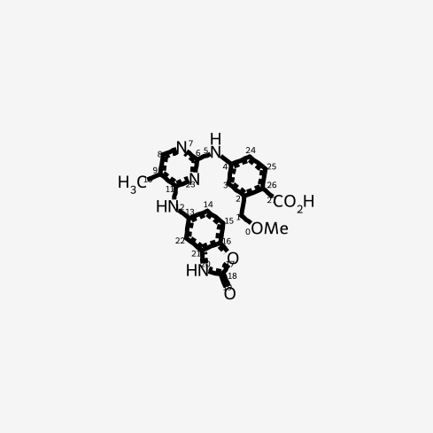 COCc1cc(Nc2ncc(C)c(Nc3ccc4oc(=O)[nH]c4c3)n2)ccc1C(=O)O